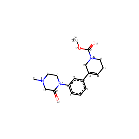 CN1CCN(c2cccc(C3=CCCN(C(=O)OC(C)(C)C)C3)c2)C(=O)C1